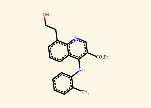 CCOC(=O)c1cnc2c(CCO)cccc2c1Nc1ccccc1C